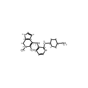 CC1=C(Nc2cccnc2OC2CCC(N)CC2)c2ccsc2CN1Cl